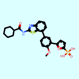 COc1ccc(-c2cccc3nc(NC(=O)C4CCCCC4)sc23)cc1-c1ccc(P(=O)(O)O)o1